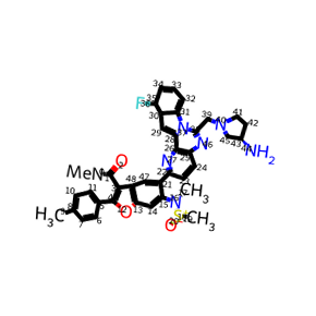 CNC(=O)c1c(-c2ccc(C)cc2)oc2cc(N(C)[S+](C)[O-])c(-c3ccc4c(n3)C3=CC5C(=CC=CC5F)N3C(CN3CC[C@@H](N)C3)=N4)cc12